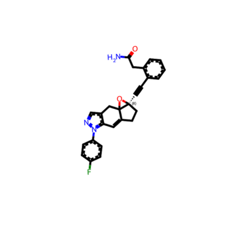 NC(=O)Cc1ccccc1C#C[C@]12CCC3=Cc4c(cnn4-c4ccc(F)cc4)CC31O2